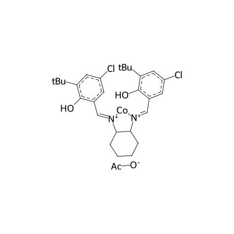 CC(=O)[O-].CC(C)(C)c1cc(Cl)cc(C=[N+]2[Co][N+](=Cc3cc(Cl)cc(C(C)(C)C)c3O)C3CCCCC32)c1O